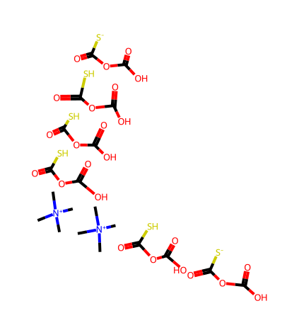 C[N+](C)(C)C.C[N+](C)(C)C.O=C(O)OC(=O)S.O=C(O)OC(=O)S.O=C(O)OC(=O)S.O=C(O)OC(=O)S.O=C(O)OC(=O)[S-].O=C(O)OC(=O)[S-]